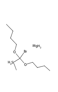 CCCCOC(Br)(OCCCC)[SiH2]C.[MgH2]